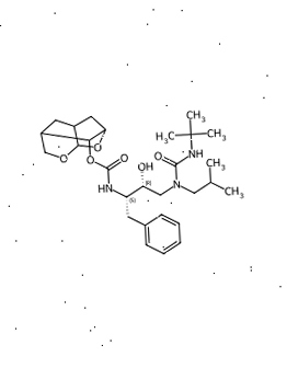 CC(C)CN(C[C@@H](O)[C@H](Cc1ccccc1)NC(=O)OC1C2COC3OC1CC3C2)C(=O)NC(C)(C)C